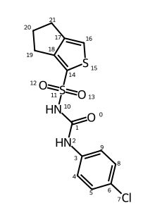 O=C(Nc1ccc(Cl)cc1)NS(=O)(=O)c1scc2c1CCC2